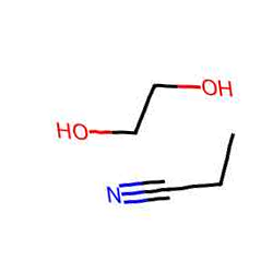 CCC#N.OCCO